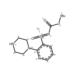 CC(C)(C)OC(=O)N=[S@](C)(=O)c1cccnc1N1CCNCC1